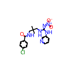 CC(C)(CNC(=O)c1ccc(Cl)cc1)CNC(=N[N+](=O)[O-])Nc1cccnc1